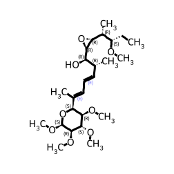 CC[C@H](OC)[C@@H](C)[C@H]1O[C@@H]1[C@H](O)[C@H](C)/C=C/C=C(\C)[C@@H]1O[C@H](OC)[C@H](OC)[C@@H](OC)[C@@H]1OC